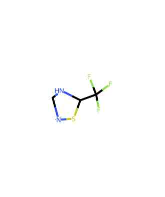 FC(F)(F)C1NC[N]S1